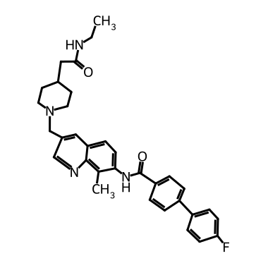 CCNC(=O)CC1CCN(Cc2cnc3c(C)c(NC(=O)c4ccc(-c5ccc(F)cc5)cc4)ccc3c2)CC1